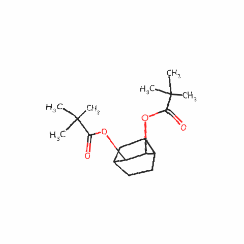 CC(C)(C)C(=O)OC1C2CCC(CC2)C1OC(=O)C(C)(C)C